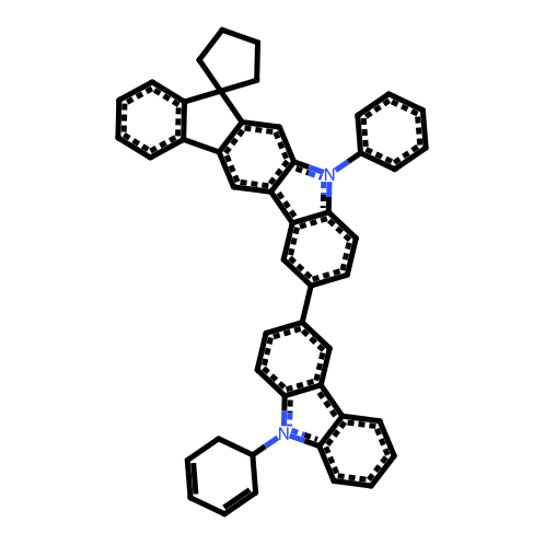 C1=CCC(n2c3ccccc3c3cc(-c4ccc5c(c4)c4cc6c(cc4n5-c4ccccc4)C4(CCCC4)c4ccccc4-6)ccc32)C=C1